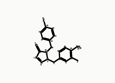 Cc1cc(Cn2nnc(=O)n2Cc2ccc(F)cc2)ccc1N